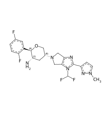 Cn1ccc(-c2nc3c(n2C(F)F)CN([C@H]2CO[C@H](c4cc(F)ccc4F)[C@@H](N)C2)C3)n1